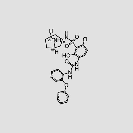 O=C(Nc1ccccc1Oc1ccccc1)Nc1ccc(Cl)c(S(=O)(=O)N[C@@H]2C[C@H]3CC[C@@H](C2)N3)c1O